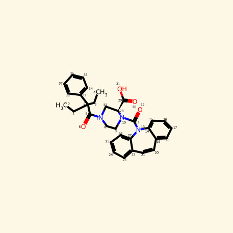 CCC(CC)(C(=O)N1CCN(C(=O)N2c3ccccc3C=Cc3ccccc32)[C@H](C(=O)O)C1)c1ccccc1